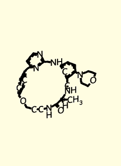 C[C@H]1NCc2cc(ccc2N2CCOCC2)Nc2nccc(n2)-c2ccc(cc2)OCCCNC1=O